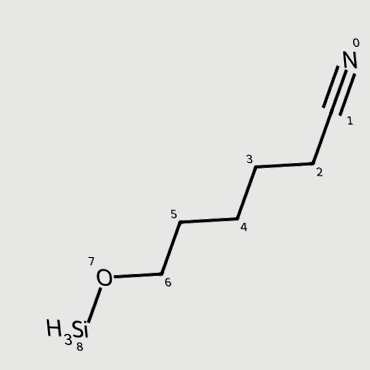 N#CCCCCCO[SiH3]